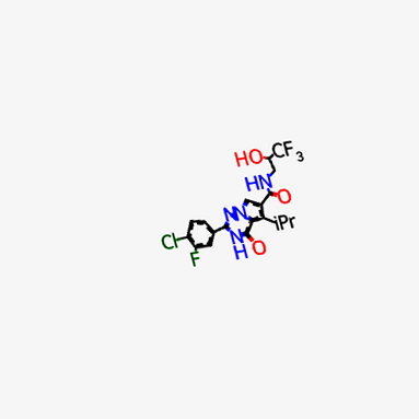 CC(C)c1c(C(=O)NCC(O)C(F)(F)F)cn2nc(-c3ccc(Cl)c(F)c3)[nH]c(=O)c12